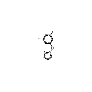 Cc1cc(C)cc(On2c[c]cn2)c1